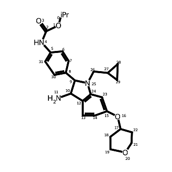 CC(C)OC(=O)Nc1ccc(C2C(N)c3ccc(OC4CCOCC4)cc3N2CC2CC2)cc1